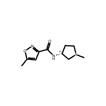 Cc1cc(C(=O)N[C@@H]2CCN(C)C2)no1